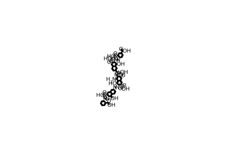 Nc1c(N=Nc2ccc3cc(S(=O)(=O)O)c(N=Nc4ccc(C(=O)O)cc4S(=O)(=O)O)c(O)c3c2)c(S(=O)(=O)O)cc2cc(S(=O)(=O)O)c(N=Nc3ccc4c(O)c(N=Nc5ccccc5C(=O)O)c(S(=O)(=O)O)cc4c3)c(O)c12